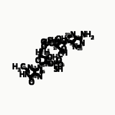 Cc1nc2c(ncn2[C@@H]2O[C@@H]3COP(=O)(S)O[C@H]4[C@@H](O)[C@H](n5cnc6c(N)ncnc65)O[C@@H]4COP(=O)(S)O[C@@H]2[C@@H]3O)c(=O)[nH]1